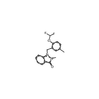 Cc1ccc(OC(F)F)c(Cn2c3ccccc3c(=O)n2C)c1